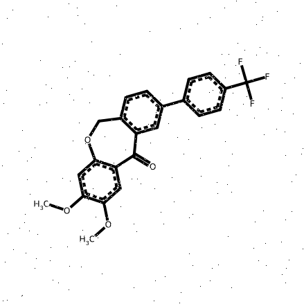 COc1cc2c(cc1OC)C(=O)c1cc(-c3ccc(C(F)(F)F)cc3)ccc1CO2